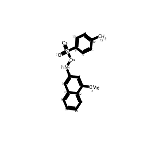 COc1cc(NOS(=O)(=O)c2ccc(C)cc2)cc2ccccc12